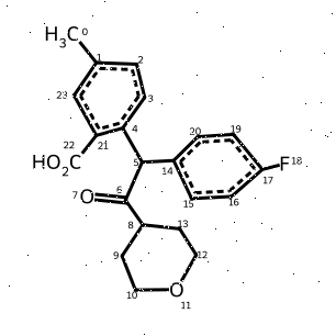 Cc1ccc(C(C(=O)C2CCOCC2)c2ccc(F)cc2)c(C(=O)O)c1